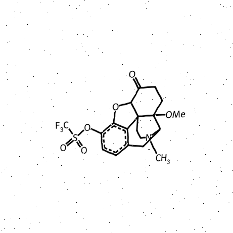 COC12CCC(=O)C3Oc4c(OS(=O)(=O)C(F)(F)F)ccc5c4C31CCN(C)C2C5